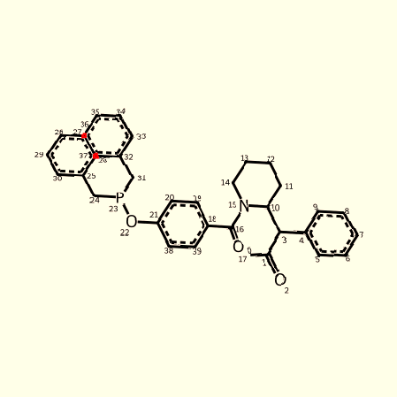 CC(=O)C(c1ccccc1)C1CCCCN1C(=O)c1ccc(OP(Cc2ccccc2)Cc2ccccc2)cc1